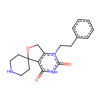 O=c1[nH]c(=O)n(CCc2ccccc2)c2c1C1(CCNCC1)OC2